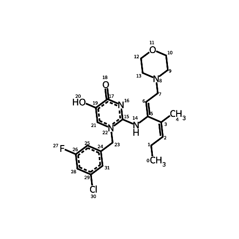 CC/C=C(C)\C(=C/CN1CCOCC1)Nc1nc(=O)c(O)cn1Cc1cc(F)cc(Cl)c1